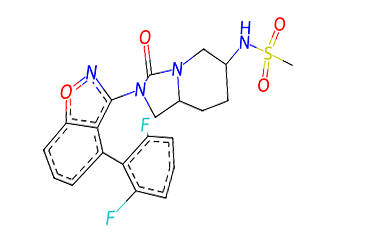 CS(=O)(=O)NC1CCC2CN(c3noc4cccc(-c5c(F)cccc5F)c34)C(=O)N2C1